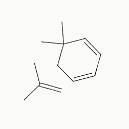 C=C(C)C.CC1(C)C=CC=CC1